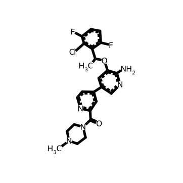 CC(Oc1cc(-c2ccnc(C(=O)N3CCN(C)CC3)c2)cnc1N)c1c(F)ccc(F)c1Cl